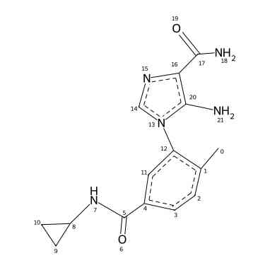 Cc1ccc(C(=O)NC2CC2)cc1-n1cnc(C(N)=O)c1N